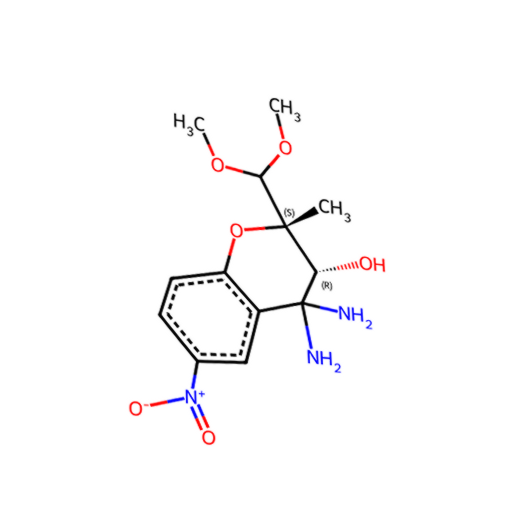 COC(OC)[C@@]1(C)Oc2ccc([N+](=O)[O-])cc2C(N)(N)[C@H]1O